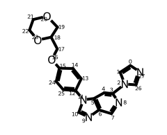 c1cn(-c2cc3c(cn2)ncn3-c2ccc(OCC3COCCO3)cc2)cn1